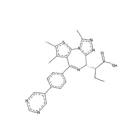 CCC(C(=O)O)[C@@H]1N=C(c2ccc(-c3cncnc3)cc2)c2c(sc(C)c2C)-n2c(C)nnc21